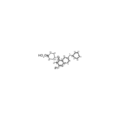 CC(C)c1nc2ccc(Cc3ccccc3)cc2c(=O)n1C[C@H]1CCCN(C(=O)O)C1